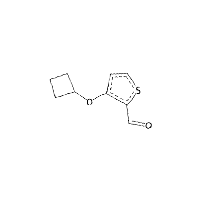 O=Cc1sccc1OC1CCC1